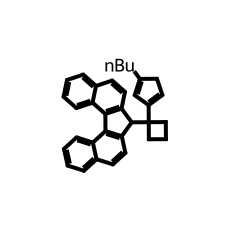 CCCCC1=CC(C2(C3c4ccc5ccccc5c4-c4c3ccc3ccccc43)CCC2)=CC1